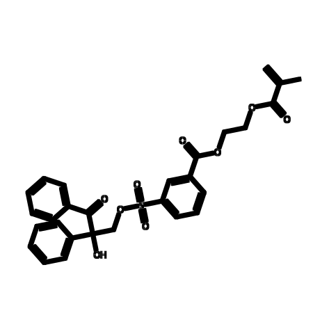 C=C(C)C(=O)OCCOC(=O)c1cccc(S(=O)(=O)OCC(O)(C(=O)c2ccccc2)c2ccccc2)c1